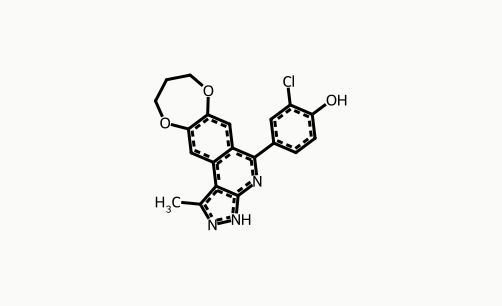 Cc1n[nH]c2nc(-c3ccc(O)c(Cl)c3)c3cc4c(cc3c12)OCCCO4